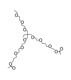 CCOCCOCCOCC(CC)(COCCOCCCOCCOC(C)=O)COCCOCCOCCCOC(C)=O